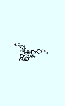 COc1ccc2c(c1)C(OC(=O)N1CCN(C3CCN(C)CC3)CC1)(c1ccccc1OC(C)C)C(=O)N2S(=O)(=O)c1cn(C)cn1